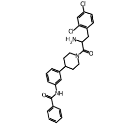 NC(Cc1ccc(Cl)cc1Cl)C(=O)N1CCC(c2cccc(NC(=O)c3ccccc3)c2)CC1